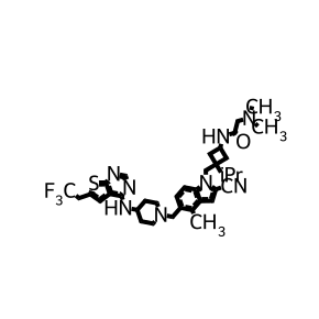 Cc1c(CN2CCC(Nc3ncnc4sc(CC(F)(F)F)cc34)CC2)ccc2c1cc(C#N)n2CC1(C(C)C)CC(NC(=O)CN(C)C)C1